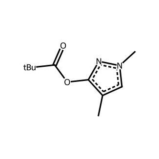 Cc1cn(C)nc1OC(=O)C(C)(C)C